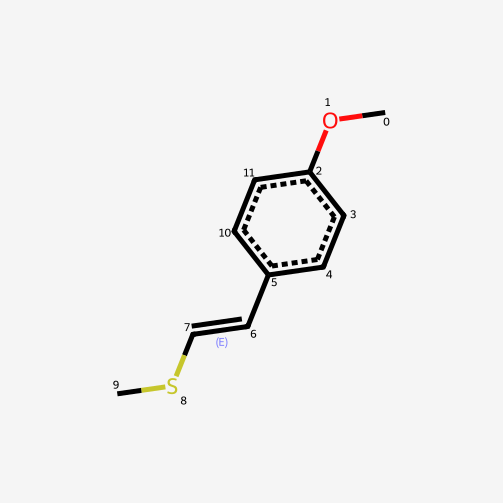 COc1ccc(/C=C/SC)cc1